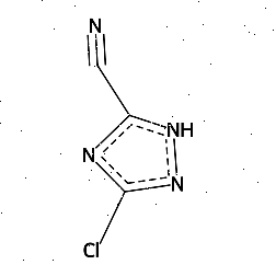 N#Cc1nc(Cl)n[nH]1